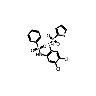 O=S(=O)(Nc1cc(Cl)c(Cl)cc1NS(=O)(=O)c1cccs1)c1cc[c]cc1